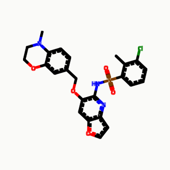 Cc1c(Cl)cccc1S(=O)(=O)Nc1nc2ccoc2cc1OCc1ccc2c(c1)OCCN2C